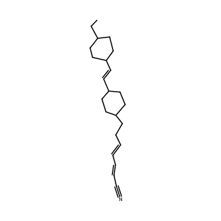 CCC1CCC(/C=C/C2CCC(CCC=CC=CC#N)CC2)CC1